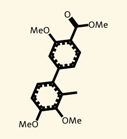 COC(=O)c1ccc(-c2ccc(OC)c(OC)c2C)cc1OC